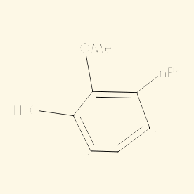 [CH2]CCc1cccc(C)c1OC